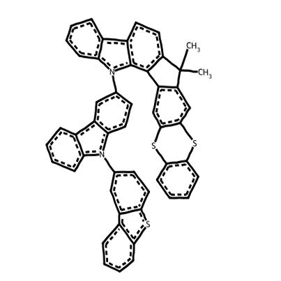 CC1(C)c2cc3c(cc2-c2c1ccc1c4ccccc4n(-c4ccc5c(c4)c4ccccc4n5-c4ccc5sc6ccccc6c5c4)c21)Sc1ccccc1S3